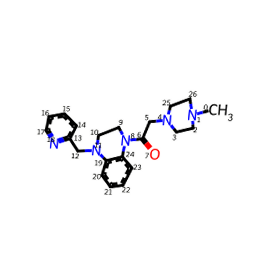 CN1CCN(CC(=O)N2CCN(Cc3ccccn3)c3ccccc32)CC1